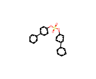 O=S(=O)(Oc1ccc(-c2ccccc2)cc1)Oc1ccc(-c2ccccc2)cc1